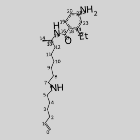 C=CCCCCNCCCCCC[C@@H](C)NC(=O)c1ccc(N)cc1CC